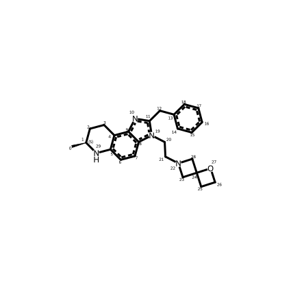 C[C@H]1CCc2c(ccc3c2nc(Cc2ccccc2)n3CCN2CC3(CCO3)C2)N1